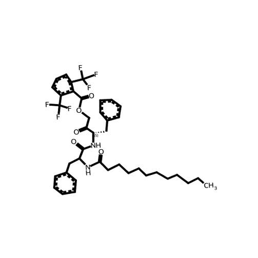 CCCCCCCCCCCC(=O)NC(Cc1ccccc1)C(=O)N[C@@H](Cc1ccccc1)C(=O)COC(=O)c1c(C(F)(F)F)cccc1C(F)(F)F